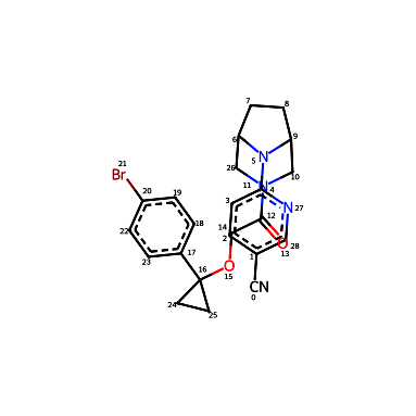 N#Cc1ccc(N2C3CCC2CN(C(=O)COC2(c4ccc(Br)cc4)CC2)C3)nc1